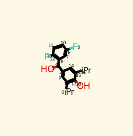 CC(C)c1cc(C(O)c2cc(F)ccc2F)cc(C(C)C)c1O